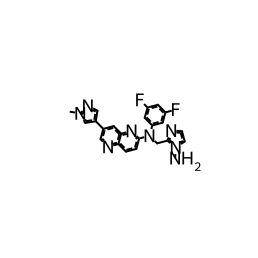 Cn1cc(-c2cnc3ccc(N(Cc4nccn4N)c4cc(F)cc(F)c4)nc3c2)cn1